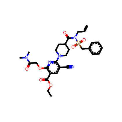 C=CCN(C(=O)C1CCN(c2nc(OCC(=O)N(C)C)c(C(=O)OCC)cc2C#N)CC1)S(=O)(=O)Cc1ccccc1